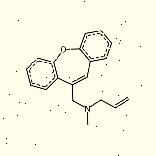 C=CCN(C)CC1=Cc2ccccc2Oc2ccccc21